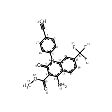 C#Cc1ccc(-n2c(=O)c(C(=O)OC)c(N)c3ccc(C(F)(F)F)cc32)cc1